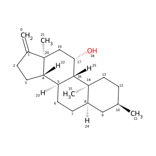 C=C1CC[C@H]2[C@@H]3CC[C@@H]4C[C@H](C)CC[C@]4(C)[C@H]3[C@@H](O)C[C@]12C